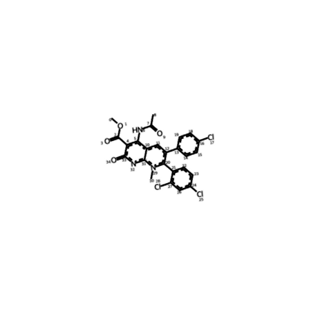 COC(=O)c1c(NC(C)=O)c2cc(-c3ccc(Cl)cc3)c(-c3ccc(Cl)cc3Cl)n(C)c-2nc1=O